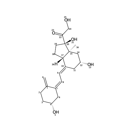 C=C1CC[C@@H](O)C/C1=C/C=C1\C[C@@H](O)C[C@@]2(C)[C@H]1CC[C@]2(O)C(=O)CO